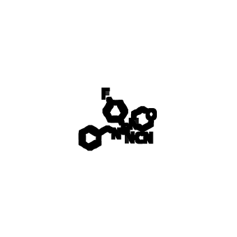 N#CN=S(=NCc1ccccc1)(c1ccc(F)cc1)N1CCOCC1